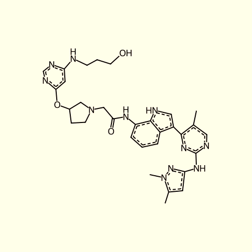 Cc1cnc(Nc2cc(C)n(C)n2)nc1-c1c[nH]c2c(NC(=O)CN3CCC(Oc4cc(NCCCO)ncn4)C3)cccc12